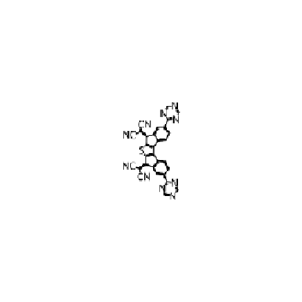 N#CC(C#N)=C1c2cc(-c3ncncn3)ccc2-c2c1sc1c2-c2ccc(-c3ncncn3)cc2C1=C(C#N)C#N